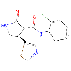 O=C1NC[C@H](c2cncs2)[C@H]1C(=O)Nc1ccccc1F